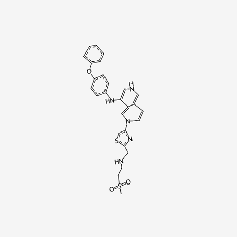 CS(=O)(=O)CCNCc1nc(N2C=CC3=CNC=C(Nc4ccc(Oc5ccccc5)cc4)C3=C2)cs1